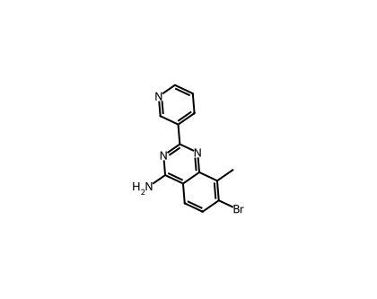 Cc1c(Br)ccc2c(N)nc(-c3cccnc3)nc12